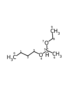 CCCCO[SH](C)OCC